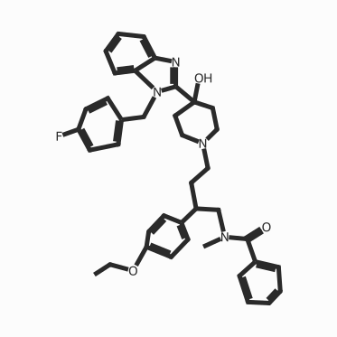 CCOc1ccc(C(CCN2CCC(O)(c3nc4ccccc4n3Cc3ccc(F)cc3)CC2)CN(C)C(=O)c2ccccc2)cc1